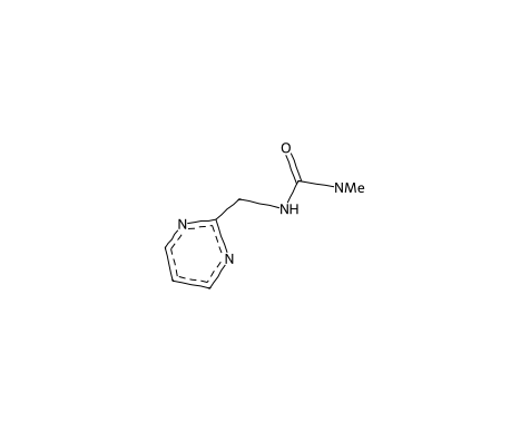 CNC(=O)NCc1ncccn1